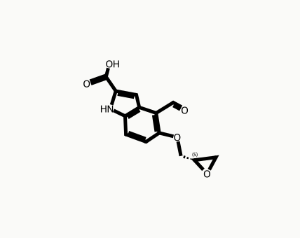 O=Cc1c(OC[C@@H]2CO2)ccc2[nH]c(C(=O)O)cc12